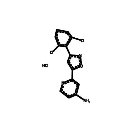 Cl.Nc1ccnc(-c2cc(-c3c(Cl)cccc3Cl)no2)c1